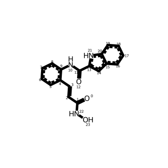 O=C(/C=C/c1ccccc1NC(=O)c1cc2ccccc2[nH]1)NO